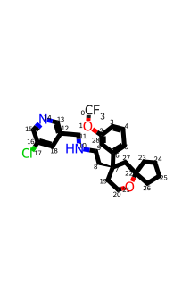 FC(F)(F)Oc1cccc([C@@]2(CCNCc3cncc(Cl)c3)CCOC3(CCCC3)C2)c1